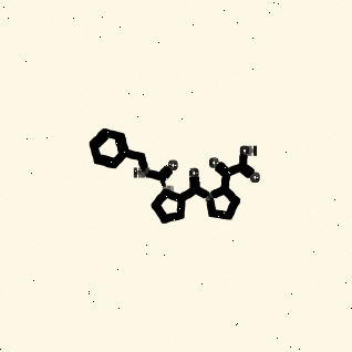 O=C(O)C(=O)C1CCCN1C(=O)C1CCC[C@@H]1C(=O)NCc1ccccc1